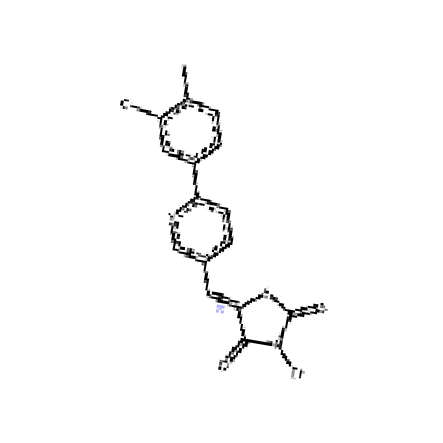 CCN1C(=O)/C(=C/c2ccc(-c3ccc(C)c(Cl)c3)nc2)SC1=S